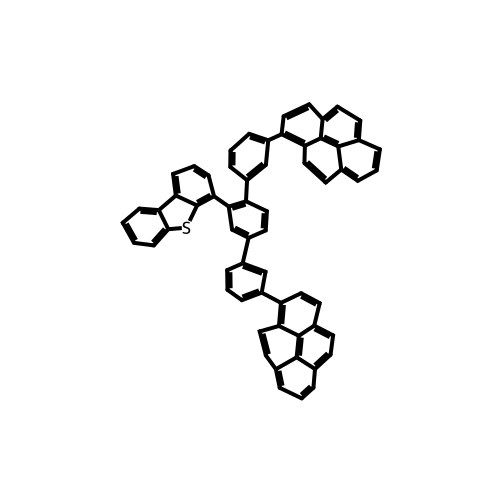 c1cc(-c2ccc(-c3cccc(-c4ccc5ccc6cccc7ccc4c5c67)c3)c(-c3cccc4c3sc3ccccc34)c2)cc(-c2ccc3ccc4cccc5ccc2c3c45)c1